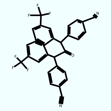 N#Cc1ccc(C(C(=O)C(c2ccc(C#N)cc2)c2cccc(C(F)(F)F)c2)c2cccc(C(F)(F)F)c2)cc1